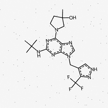 CC1(O)CCN(c2nc(NC(C)(C)C)nc3c2ncn3Cc2c[nH]nc2C(F)(F)F)C1